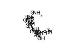 Cc1ncsc1-c1ccc(CNC(=O)[C@@H]2C[C@@H](O)CN2C(=O)C(CNC(=O)NCCCc2ccc(CO[C@H](C)[C@H](CCC(N)=O)NC(=O)[C@@H]3Cc4cccc5c4N3C(=O)[C@@H](NC(=O)OC(C)(C)C)CC5)cc2)C(C)(C)C)cc1